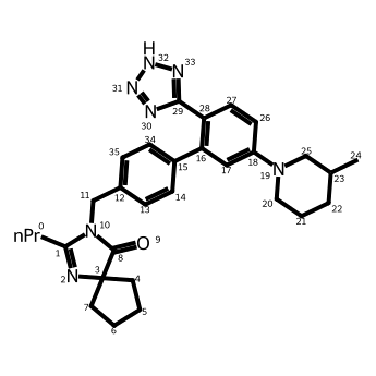 CCCC1=NC2(CCCC2)C(=O)N1Cc1ccc(-c2cc(N3CCCC(C)C3)ccc2-c2nn[nH]n2)cc1